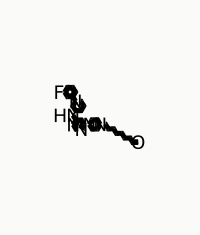 O=CCCCCCCCN1CCN(c2cc(N[C@@H]3CCCN(c4cccc(F)c4)C3)ncn2)CC1